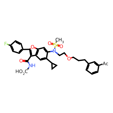 CC(=O)c1cccc(CCCOCCN(c2cc3oc(-c4ccc(F)cc4)c(C(=O)NC(=O)O)c3cc2C2CC2)S(C)(=O)=O)c1